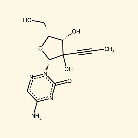 CC#CC1(O)[C@@H](O)[C@@H](CO)O[C@H]1n1ncc(N)nc1=O